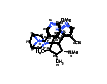 CN[C@H]1C(c2[nH]ncc2C#N)C(C)(N2CC3CC(C2)N3Cc2ccc(OC)nc2)[C@H](C)[C@H]1C